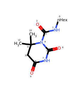 CCCCCCNC(=O)N1C(=O)NC(=O)CC1(C)C